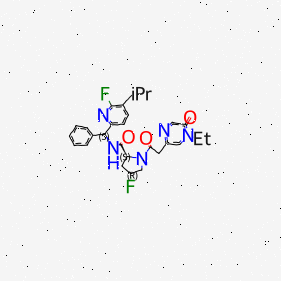 CCn1cc(CC(=O)N2C[C@H](F)C[C@H]2C(=O)N[C@@H](c2ccccc2)c2ccc(C(C)C)c(F)n2)ncc1=O